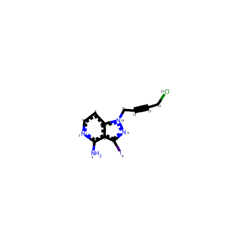 Nc1nccc2c1c(I)nn2CC#CCCl